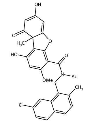 COc1cc(O)c2c(c1C(=O)N(Cc1c(C)ccc3ccc(Cl)cc13)C(C)=O)OC1=CC(O)=CC(=O)C12C